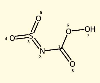 O=C(N=S(=O)=O)OO